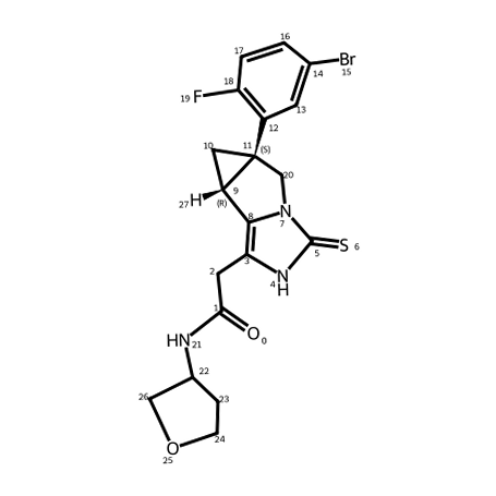 O=C(Cc1[nH]c(=S)n2c1[C@@H]1C[C@]1(c1cc(Br)ccc1F)C2)NC1CCOC1